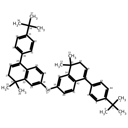 CC(C)(C)c1ccc(C2=CCC(C)(C)c3cc([Se]c4ccc5c(c4)C(C)(C)CC=C5c4ccc(C(C)(C)C)cc4)ccc32)cc1